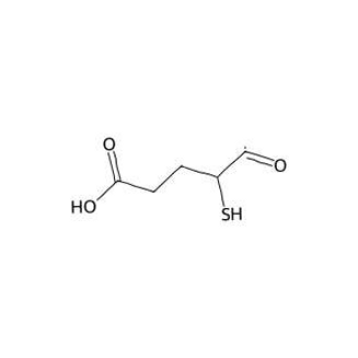 O=[C]C(S)CCC(=O)O